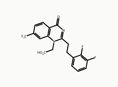 O=C(O)Cn1c(CCc2cccc(F)c2F)nc(=O)c2ccc(C(F)(F)F)cc21